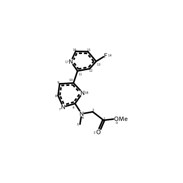 COC(=O)CN(C)c1nccc(-c2cc(F)ccn2)n1